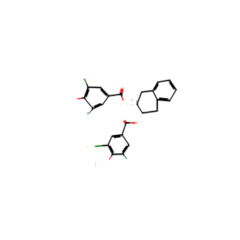 O=C(O[C@H]1Cc2ccccc2C[C@H]1OC(=O)c1cc(Cl)c(O)c(Cl)c1)c1cc(Cl)c(O)c(Cl)c1